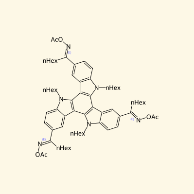 CCCCCC/C(=N\OC(C)=O)c1ccc2c(c1)c1c(c3c4cc(/C(CCCCCC)=N/OC(C)=O)ccc4n(CCCCCC)c3c3c4cc(/C(CCCCCC)=N/OC(C)=O)ccc4n(CCCCCC)c13)n2CCCCCC